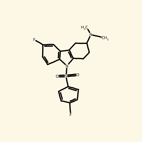 CN(C)C1CCc2c(c3cc(F)ccc3n2S(=O)(=O)c2ccc(F)cc2)C1